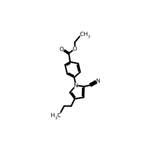 CCCc1cc(C#N)n(-c2ccc(C(=O)OCC)cc2)c1